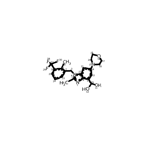 Cc1c(Cn2c(C)nc3c(C(O)O)cc(N4CCOCC4)cc32)cccc1C(F)(F)F